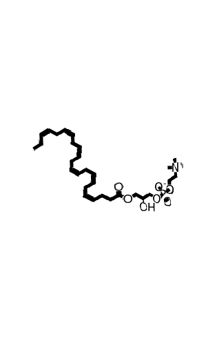 CC/C=C\C/C=C\C/C=C\C/C=C\C/C=C\C/C=C\CCC(=O)OC[C@@H](O)COP(=O)([O-])OCC[N+](C)(C)C